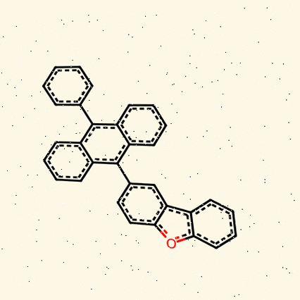 c1ccc(-c2c3ccccc3c(-c3ccc4oc5ccccc5c4c3)c3ccccc23)cc1